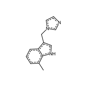 Cc1cccc2c(Cn3ccnc3)c[nH]c12